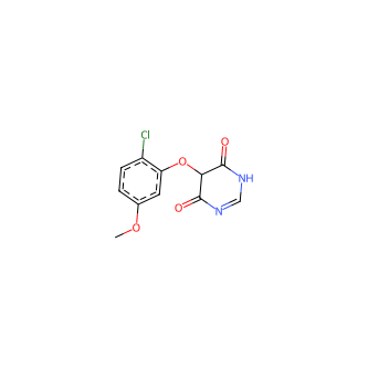 COc1ccc(Cl)c(OC2C(=O)N=CNC2=O)c1